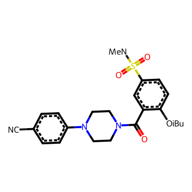 CNS(=O)(=O)c1ccc(OCC(C)C)c(C(=O)N2CCN(c3ccc(C#N)cc3)CC2)c1